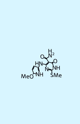 COC1C=CC(Nc2nc(SC)[nH]c(=O)c2C(N)=O)=CN1